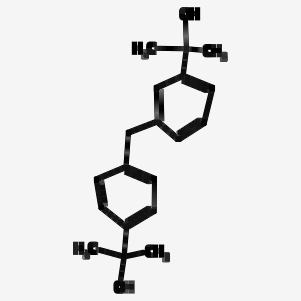 CC(C)(O)c1ccc(Cc2cccc(C(C)(C)O)c2)cc1